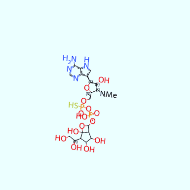 CN[C@H]1[C@@H](O)[C@H](c2c[nH]c3c(N)ncnc23)O[C@@H]1COP(=O)(S)OP(=O)(O)OC1OC2(O)C1C(O)C(O)C2[C@@H](O)CO